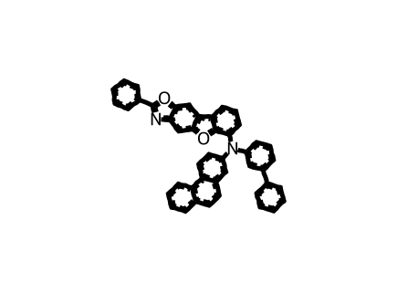 c1ccc(-c2cccc(N(c3ccc4c(ccc5ccccc54)c3)c3cccc4c3oc3cc5nc(-c6ccccc6)oc5cc34)c2)cc1